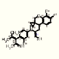 CC/C=C(\CC1c2ccc(F)c(F)c2OCC12CC2)Nc1cnc(C(C(C)=N)=C(C)C)c(F)c1